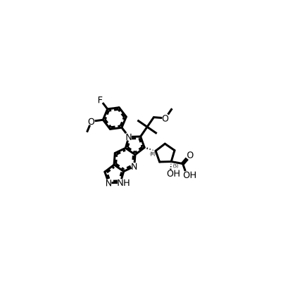 COCC(C)(C)c1c([C@@H]2CC[C@@](O)(C(=O)O)C2)c2nc3[nH]ncc3cc2n1-c1ccc(F)c(OC)c1